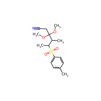 COC(CC#N)(OC)C(C)C(C)S(=O)(=O)c1ccc(C)cc1